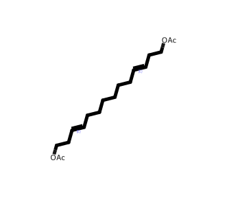 CC(=O)OCC/C=C/CCCCCC/C=C/CCOC(C)=O